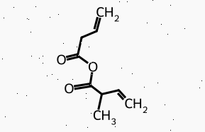 C=CCC(=O)OC(=O)C(C)C=C